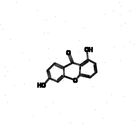 O=c1c2ccc(O)cc2oc2cccc(O)c12